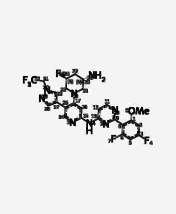 COc1cc(F)cc(F)c1-c1nccc(Nc2cc(N3C[C@@H](N)C[C@H](F)C3)c(-c3cnn(CC(F)(F)F)c3)cn2)n1